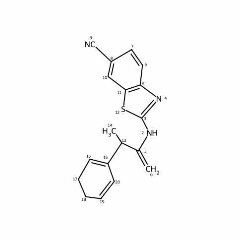 C=C(Nc1nc2ccc(C#N)cc2s1)C(C)C1=CCCC=C1